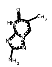 Cc1cn2nc(N)nc2[nH]c1=O